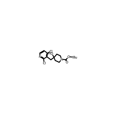 CC(C)(C)OC(=O)N1CCC(O)(Cc2c(Cl)ccnc2Cl)CC1